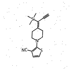 C#CC(=C1CCN(c2sccc2C#N)CC1)[Si](C)(C)C